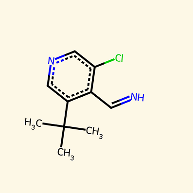 CC(C)(C)c1cncc(Cl)c1C=N